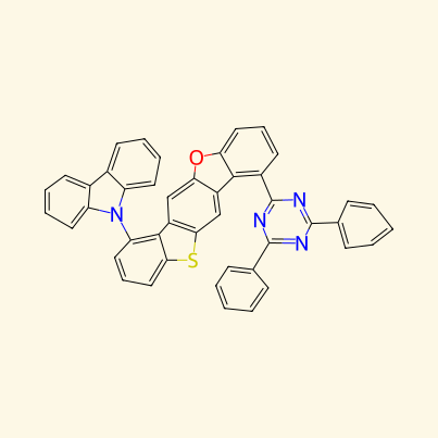 c1ccc(-c2nc(-c3ccccc3)nc(-c3cccc4oc5cc6c(cc5c34)sc3cccc(-n4c5ccccc5c5ccccc54)c36)n2)cc1